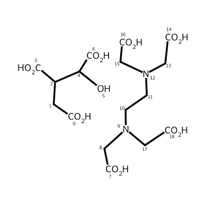 O=C(O)CC(C(=O)O)C(O)C(=O)O.O=C(O)CN(CCN(CC(=O)O)CC(=O)O)CC(=O)O